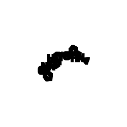 c1cc(CNC2CC2)cc(OC[C@@H]2CC[C@@H]3CN(c4noc5ccccc45)CCN3C2)c1